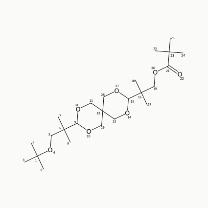 CC(C)(C)OCC(C)(C)C1OCC2(COC(C(C)(C)COC(=O)C(C)(C)C)OC2)CO1